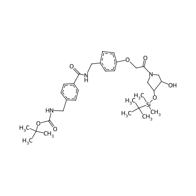 CC(C)(C)OC(=O)NCc1ccc(C(=O)NCc2ccc(OCC(=O)N3CC(O)C(O[Si](C)(C)C(C)(C)C)C3)cc2)cc1